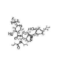 C=CC(=O)N1CCc2nn(-c3ccc(C4CCC4)cc3O)c3c2C(C1)N(C(=O)c1cnc(C(F)(F)F)cc1O)CC3